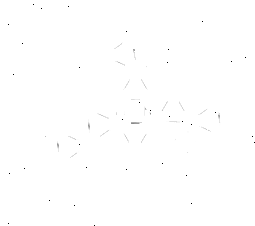 CC(C)(C)c1cc(-c2cc(C3CCCCC3)c3oc4c(N(c5ccc6c(c5)C(C)(C)c5ccccc5-6)c5ccc6c(c5)C5(CC7CCC5C7)c5ccccc5-6)cccc4c3c2)cc(C(C)(C)C)c1